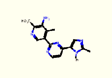 Cc1c(-c2nccc(-c3cnc(C)n3C(C)C)n2)cnc(C(=O)O)c1N